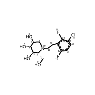 OC[C@@H]1[C@@H](O)[C@H](O)[C@@H](O)CN1CCc1c(F)ccc(Cl)c1F